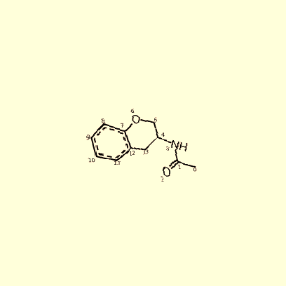 CC(=O)NC1COc2ccccc2C1